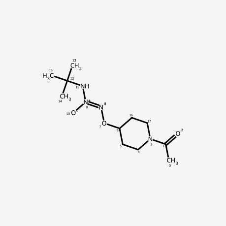 CC(=O)N1CCC(O/N=[N+](\[O-])NC(C)(C)C)CC1